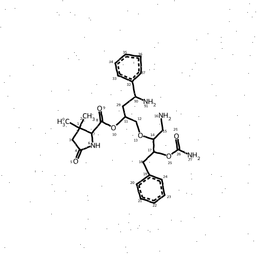 CC1(C)CC(=O)NC1C(=O)OC(COC(CN)C(Cc1ccccc1)OC(N)=O)CC(N)c1ccccc1